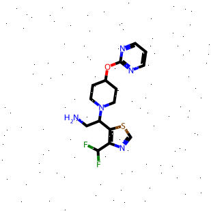 NCC(c1scnc1C(F)F)N1CCC(Oc2ncccn2)CC1